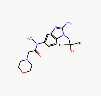 CN(C(=O)CN1CCOCC1)c1ccc2c(c1)nc(N)n2CC(C)(C)O